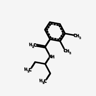 C=C(NC(CC)CC)c1cccc(C)c1C